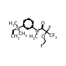 C=C[Si](C)(C)c1cccc(N(C)C(=O)C(F)(OCF)C(F)(F)F)c1